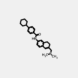 CN(C)CC1=Cc2ccc(NC(=O)c3ccc(C4CCCCC4)cc3)cc2CC1